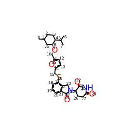 CC1CCC(C(C)C)C(OCc2ccc(CSc3cccc4c3CN(C3CCC(=O)NC3=O)C4=O)o2)C1